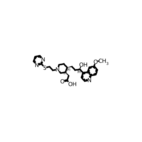 COc1ccc2nccc([C@H](O)CC[C@@H]3CCN(CCSc4ncccn4)C[C@@H]3CC(=O)O)c2c1